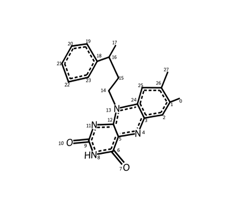 Cc1cc2nc3c(=O)[nH]c(=O)nc-3n(CCC(C)c3ccccc3)c2cc1C